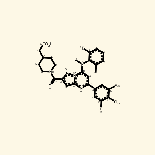 Cc1cccc(F)c1N(C)c1cc(-c2cc(F)c(Cl)c(F)c2)nc2cc(C(=O)N3CCC(CC(=O)O)CC3)nn12